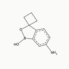 Nc1ccc2c(c1)B(O)OC21CCC1